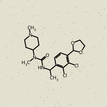 CC(NC(=O)N(C)C1CCN(C)CC1)c1ccc(C2OCCO2)c(Cl)c1Cl